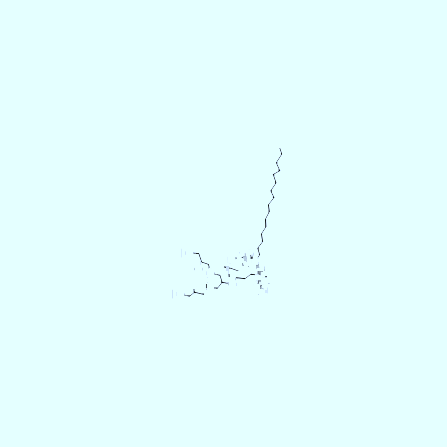 CCCCCCCCCCCCCCCC[Si](C)(O[Si](C)(C)O[Si](C)(C)C)O[Si](C)(CCCOC(COCC(O)CO)COCC(O)CO)O[Si](C)(C)C